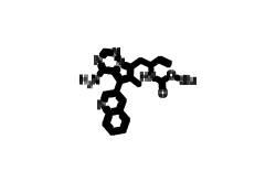 C=CC(Cc1c(C)c(-c2cnc3ccccc3c2)c2c(N)ncnn12)NC(=O)OC(C)(C)C